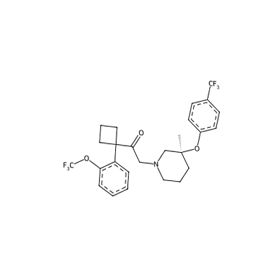 C[C@]1(Oc2ccc(C(F)(F)F)cc2)CCCN(CC(=O)C2(c3ccccc3OC(F)(F)F)CCC2)C1